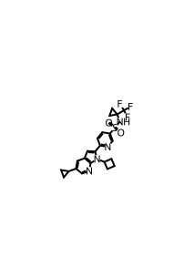 O=S(=O)(NC1(C(F)(F)F)CC1)c1ccc(-c2cc3cc(C4CC4)cnc3n2C2CCC2)nc1